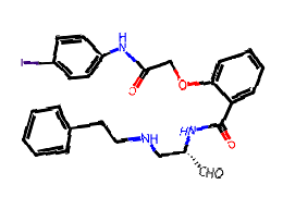 O=C[C@H](CNCCc1ccccc1)NC(=O)c1ccccc1OCC(=O)Nc1ccc(I)cc1